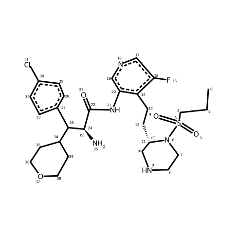 CCCS(=O)(=O)N1CCNC[C@@H]1CCc1c(F)cncc1NC(=O)[C@@H](N)C(c1ccc(Cl)cc1)C1CCOCC1